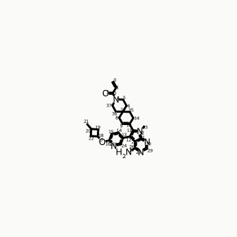 C=CC(=O)N1CCC2(CC=C(c3c(-c4ccc(OC5CC(C)C5)nc4)c4c(N)ncnc4n3C)CC2)CC1